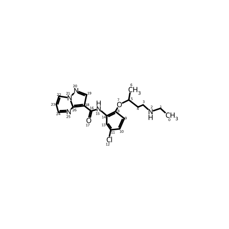 CCNCCC(C)Oc1ccc(Cl)cc1NC(=O)c1cnn2cccnc12